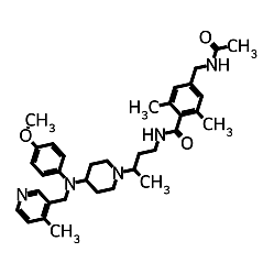 COc1ccc(N(Cc2cnccc2C)C2CCN(C(C)CCNC(=O)c3c(C)cc(CNC(C)=O)cc3C)CC2)cc1